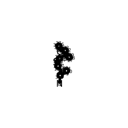 N#Cc1ccc2c(c1)c1ccccc1n2-c1ccc2sc3ccc(-n4c5ccccc5c5ccc6c7ccccc7oc6c54)cc3c2c1